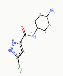 NC1CCC(NC(=O)c2cc(Cl)[nH]n2)CC1